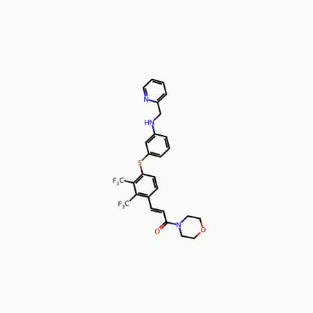 O=C(/C=C/c1ccc(Sc2cccc(NCc3ccccn3)c2)c(C(F)(F)F)c1C(F)(F)F)N1CCOCC1